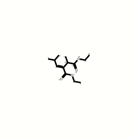 CCOC(=O)C(=CC(C)C)C(C)C(=O)OCC